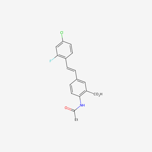 CCC(=O)Nc1ccc(/C=C/c2ccc(Cl)cc2F)cc1C(=O)O